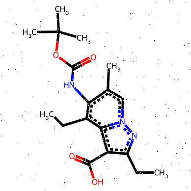 CCc1nn2cc(C)c(NC(=O)OC(C)(C)C)c(CC)c2c1C(=O)O